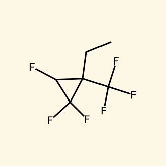 CCC1(C(F)(F)F)C(F)C1(F)F